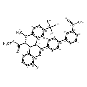 COC(=O)CC1c2cccc(F)c2N=C(c2ccc(-c3cccc([N+](=O)[O-])c3)cc2)N1c1cc(C(F)(F)F)ccc1OC